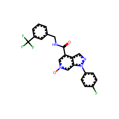 O=C(NCc1cccc(C(F)(F)F)c1)c1c[n+]([O-])cc2c1cnn2-c1ccc(F)cc1